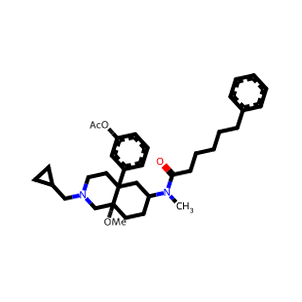 COC12CCC(N(C)C(=O)CCCCCc3ccccc3)CC1(c1cccc(OC(C)=O)c1)CCN(CC1CC1)C2